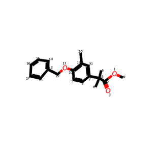 COC(=O)C(C)(C)c1ccc(OCc2ccccc2)c(C)c1